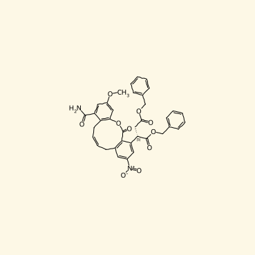 COc1cc2c(c(C(N)=O)c1)CC=CCc1cc([N+](=O)[O-])cc([C@H](CC(=O)OCc3ccccc3)C(=O)OCc3ccccc3)c1C(=O)O2